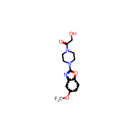 O=C(CO)N1CCN(c2nc3cc(OC(F)(F)F)ccc3o2)CC1